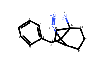 N=NC1(Cc2ccccc2)C2CCCC1(N)CC2